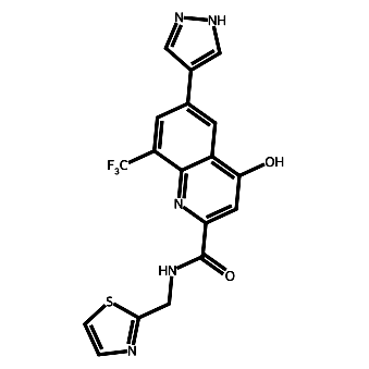 O=C(NCc1nccs1)c1cc(O)c2cc(-c3cn[nH]c3)cc(C(F)(F)F)c2n1